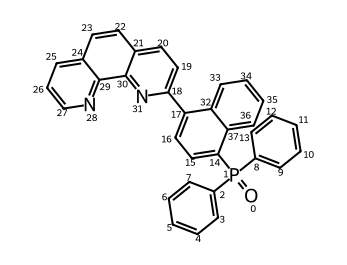 O=P(c1ccccc1)(c1ccccc1)c1ccc(-c2ccc3ccc4cccnc4c3n2)c2ccccc12